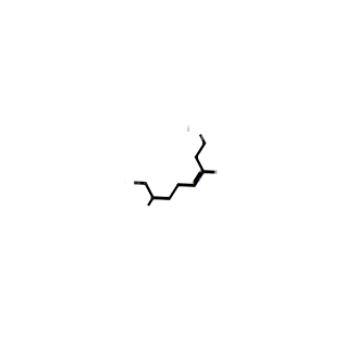 C/C(=C/CCC(C)CC=O)CCC(C)C